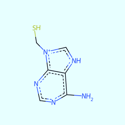 Nc1ncnc2c1[nH]c[n+]2CS